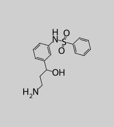 NCCC(O)c1cccc(NS(=O)(=O)c2ccccc2)c1